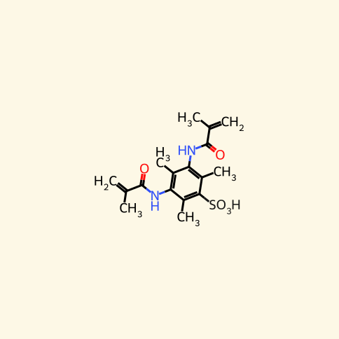 C=C(C)C(=O)Nc1c(C)c(NC(=O)C(=C)C)c(C)c(S(=O)(=O)O)c1C